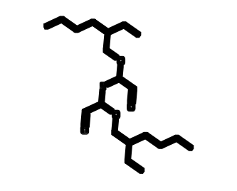 CCCCC(CC)COC(C=O)SC(C=O)OCC(CC)CCCC